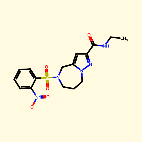 CCNC(=O)c1cc2n(n1)CCCN(S(=O)(=O)c1ccccc1[N+](=O)[O-])C2